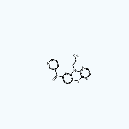 COCN1c2cc(C(=O)c3cccnc3)ccc2Sc2nccnc21